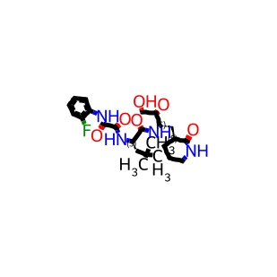 CC(C)(C)C[C@H](NC(=O)C(=O)Nc1ccccc1F)C(=O)N[C@@H](C[C@@H]1CCCNC1=O)C(=O)CO